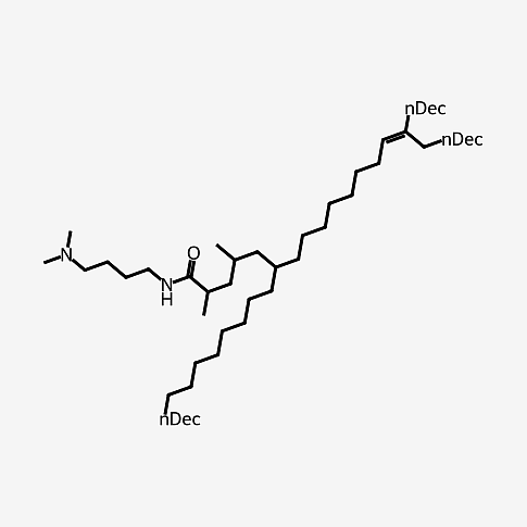 CCCCCCCCCCCCCCCCCCC(CCCCCCC/C=C(/CCCCCCCCCC)CCCCCCCCCCC)CC(C)CC(C)C(=O)NCCCCN(C)C